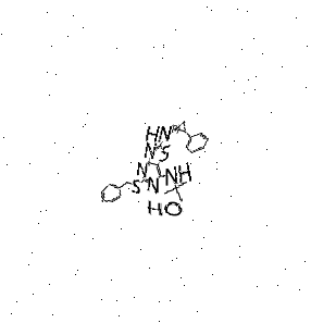 CC(C)(CO)Nc1nc(SCc2ccccc2)nc2nc(N[C@@H]3CC3c3ccccc3)sc12